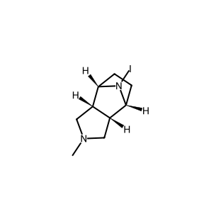 CN1C[C@@H]2[C@H](C1)[C@@H]1CC[C@H]2N1I